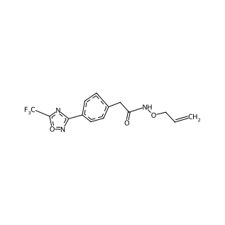 C=CCONC(=O)Cc1ccc(-c2noc(C(F)(F)F)n2)cc1